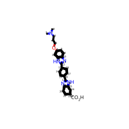 CN(C)CCCOc1ccc2nc(-c3ccc(-c4nc5ccc(C(=O)O)cc5[nH]4)cc3)[nH]c2c1